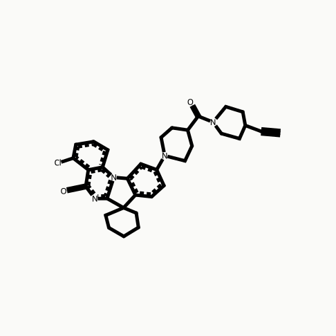 C#CC1CCN(C(=O)C2CCN(c3ccc4c(c3)-n3c(nc(=O)c5c(Cl)cccc53)C43CCCCC3)CC2)CC1